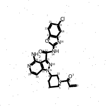 C=CC(=O)N1CCCC(n2nc(C(=O)Nc3nc4cc(Cl)ccc4o3)c3c(N)nccc32)C1